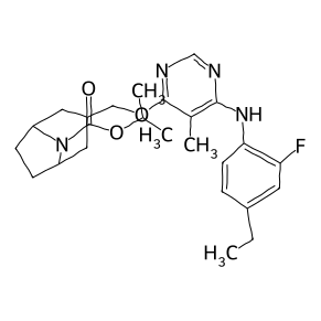 CCc1ccc(Nc2ncnc(OCC3CC4CCC(C3)N4C(=O)OC(C)C)c2C)c(F)c1